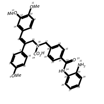 COc1ccc(/C(=C/c2ccc(OC)c(OC)c2)CN(Cc2ccc(C(=O)Nc3ccccc3N)cc2)C(=O)O)cc1